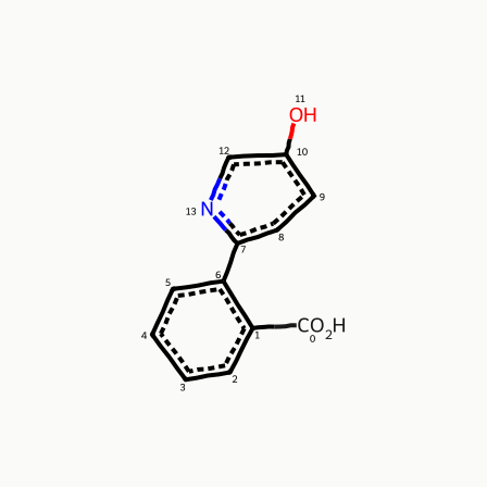 O=C(O)c1ccccc1-c1ccc(O)cn1